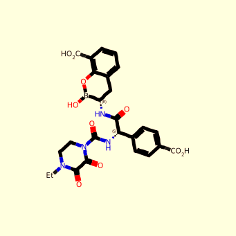 CCN1CCN(C(=O)N[C@H](C(=O)N[C@H]2Cc3cccc(C(=O)O)c3OB2O)c2ccc(C(=O)O)cc2)C(=O)C1=O